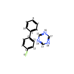 Fc1ccc(-c2ccccc2)cc1.c1ncncn1